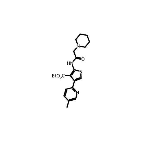 CCOC(=O)c1c(-c2ccc(C)cn2)csc1NC(=O)CN1CCCCC1